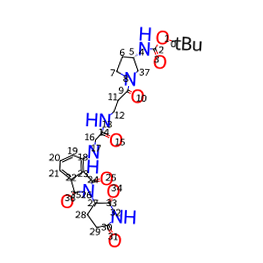 CC(C)(C)OC(=O)N[C@H]1CCN(C(=O)CCNC(=O)CNc2cccc3c2C(=O)N(C2CCC(=O)NC2=O)C3=O)C1